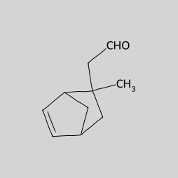 CC1(CC=O)CC2C=CC1C2